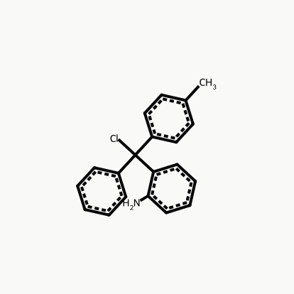 Cc1ccc(C(Cl)(c2ccccc2)c2ccccc2N)cc1